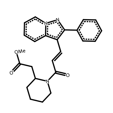 COC(=O)CC1CCCCN1C(=O)/C=C/c1c(-c2ccccc2)nn2ccccc12